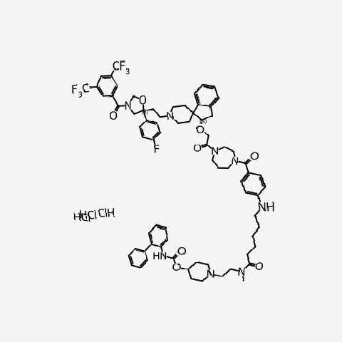 CN(CCN1CCC(OC(=O)Nc2ccccc2-c2ccccc2)CC1)C(=O)CCCCCNc1ccc(C(=O)N2CCCN(C(=O)CO[C@H]3Cc4ccccc4C34CCN(CC[C@@]3(c5ccc(F)cc5)CN(C(=O)c5cc(C(F)(F)F)cc(C(F)(F)F)c5)CO3)CC4)CC2)cc1.Cl.Cl.Cl